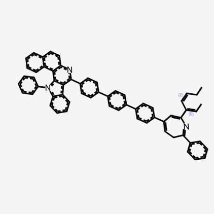 C/C=C(\C=C/CC)C1=CC(c2ccc(-c3ccc(-c4ccc(-c5nc6ccc7ccccc7c6c6c5c5ccccc5n6-c5ccccc5)cc4)cc3)cc2)=CCC(c2ccccc2)=N1